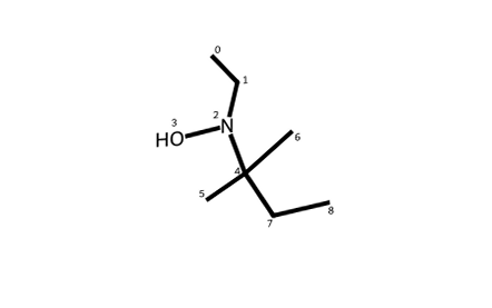 CCN(O)C(C)(C)CC